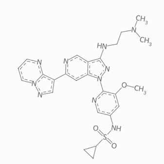 COc1cc(NS(=O)(=O)C2CC2)cnc1-n1nc(NCCN(C)C)c2cnc(-c3cnn4cccnc34)cc21